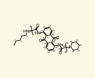 CCCCCNC(C)(C)C(=O)Nc1cccc2c1C(=O)c1cccc(NC(=O)C(C)(C)N3CCCCC3)c1C2=O